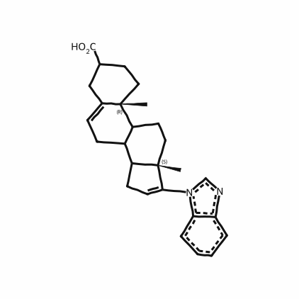 C[C@]12CCC(C(=O)O)CC1=CCC1C2CC[C@]2(C)C(n3cnc4ccccc43)=CCC12